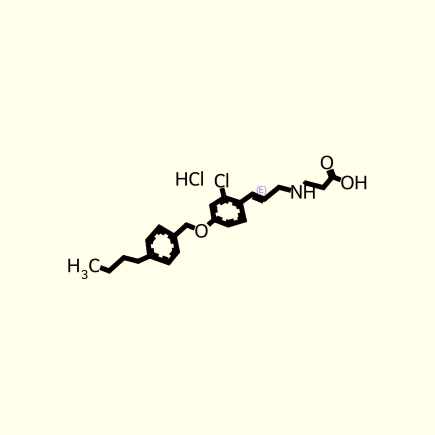 CCCCc1ccc(COc2ccc(/C=C/CNCCC(=O)O)c(Cl)c2)cc1.Cl